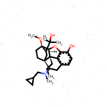 CCC[C@]12c3c4ccc(O)c3OC1[C@@]1(OC)CC[C@@]2(C[C@@H]1C(C)(C)O)C(N(C)CC1CC1)C4